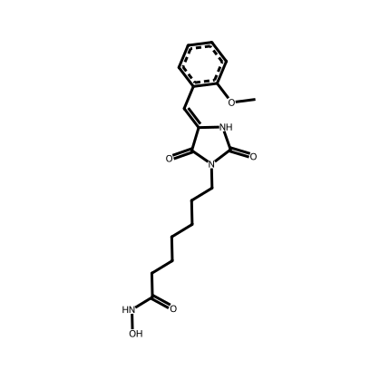 COc1ccccc1C=C1NC(=O)N(CCCCCCC(=O)NO)C1=O